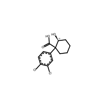 O=C(O)C1(c2ccc(Cl)c(Cl)c2)CCCC[C@@H]1O